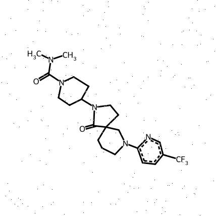 CN(C)C(=O)N1CCC(N2CCC3(CCCN(c4ccc(C(F)(F)F)cn4)C3)C2=O)CC1